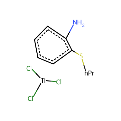 CCCSc1ccccc1N.[Cl][Ti]([Cl])[Cl]